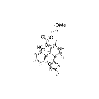 COCCOC(=O)OC1=C(C)NC(C)=C(c2nc(C)no2)C1c1ccccc1[N+](=O)[O-]